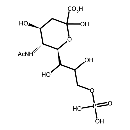 CC(=O)N[C@@H]1[C@@H](O)CC(O)(C(=O)O)O[C@H]1C(O)C(O)COP(=O)(O)O